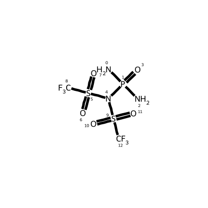 NP(N)(=O)N(S(=O)(=O)C(F)(F)F)S(=O)(=O)C(F)(F)F